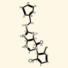 Cc1cccc(Cl)c1-n1cnc2nc(SCc3ccccc3)sc2c1=O